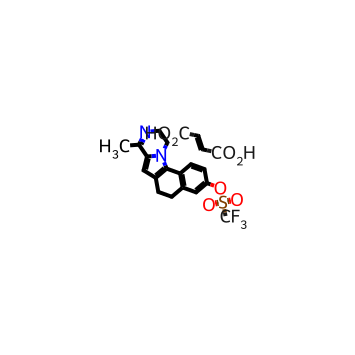 CC1=NCCn2c1cc1c2-c2ccc(OS(=O)(=O)C(F)(F)F)cc2CC1.O=C(O)/C=C/C(=O)O